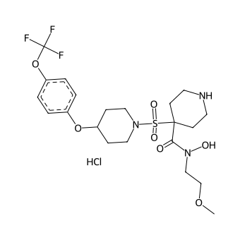 COCCN(O)C(=O)C1(S(=O)(=O)N2CCC(Oc3ccc(OC(F)(F)F)cc3)CC2)CCNCC1.Cl